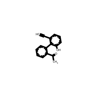 C#Cc1cccc(O)c1-c1ccccc1C(C)=O